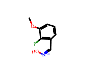 COc1cccc(/C=N\O)c1F